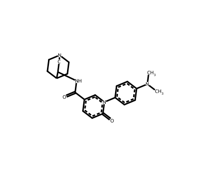 CN(C)c1ccc(-n2cc(C(=O)NC3CN4CCC3CC4)ccc2=O)cc1